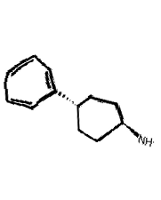 [NH][C@H]1CC[C@H](c2ccccc2)CC1